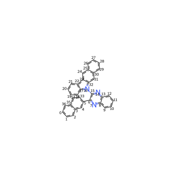 c1ccc2cc(-c3nc4ccccc4nc3-n3c4ccccc4c4cc5ccccc5cc43)ccc2c1